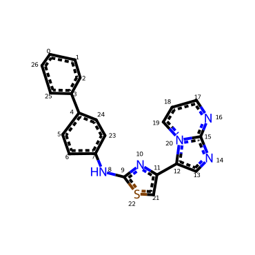 c1ccc(-c2ccc(Nc3nc(-c4cnc5ncccn45)cs3)cc2)cc1